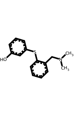 CN(C)Cc1ccccc1Sc1cccc(O)c1